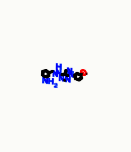 COc1cccc(-n2ncc3c(N/N=C/c4cccc(N)c4)ncnc32)c1